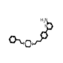 Nc1cccc(-c2ccc(CCCN3CCN(CCc4ccccc4)CC3)cc2)n1